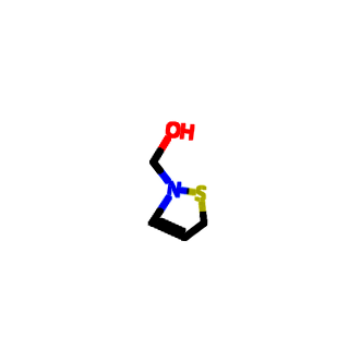 OCN1C=CCS1